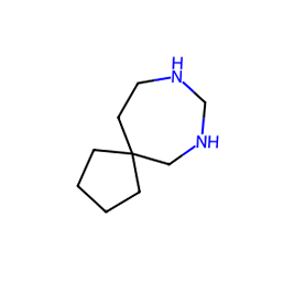 C1CCC2(C1)CCNCNC2